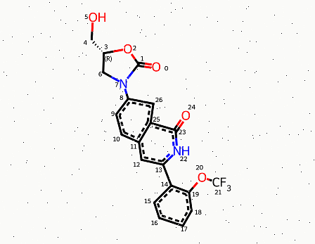 O=C1O[C@@H](CO)CN1c1ccc2cc(-c3ccccc3OC(F)(F)F)[nH]c(=O)c2c1